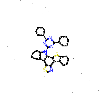 c1ccc(-c2nc(-c3ccccc3)nc(-n3c4ccccc4c4c5scnc5c5c6ccccc6sc5c43)n2)cc1